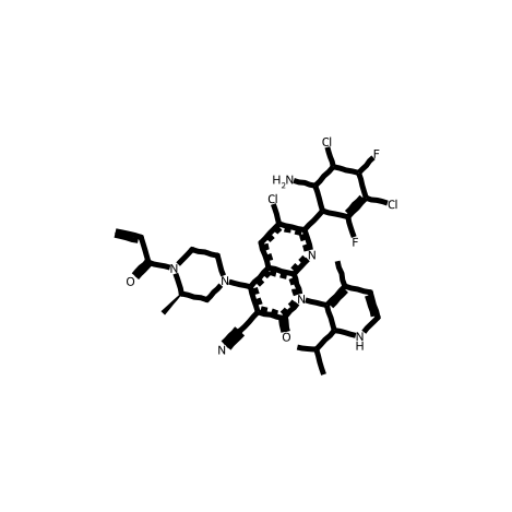 C=CC(=O)N1CCN(c2c(C#N)c(=O)n(C3=C(C)C=CNC3C(C)C)c3nc(C4C(F)=C(Cl)C(F)C(Cl)C4N)c(Cl)cc23)C[C@H]1C